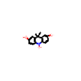 CC1(C)c2cc(O)ccc2N(O)c2ccc(O)cc21